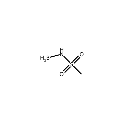 BNS(C)(=O)=O